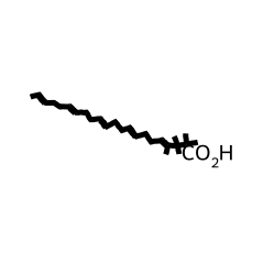 CC=CCCC=CCCC=CCCC=CCCC=C(C)C(C)(C)C(C)(C)C(=O)O